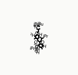 [2H]c1cc(C(=O)c2c(C(C)CC(C)C)oc3c([2H])c(C)c(NS(=O)(=O)C(C)C)c([2H])c23)c(C)c([2H])c1OCC(C)CN(CC(C)CC)C(C)C(C)CC